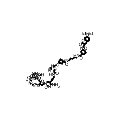 CCN(CC)c1ccc2cc(-c3nc4cc(C(=O)NCCCCCNC(=O)c5cccc(OCC(N=[N+]=[N-])OCC(=O)NCC#Cc6cn(C7CC(OCN=[N+]=[N-])C(COP(=O)(O)OP(=O)(O)OP(=O)(O)O)O7)c(=O)nc6N)c5)ccc4o3)c(=O)oc2c1